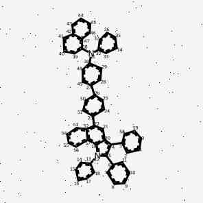 c1ccc(-c2c(-c3ccccc3)n(-c3ccccc3)c3c2cc(-c2ccc(-c4ccc(N(c5ccccc5)c5cccc6ccccc56)cc4)cc2)c2ccccc23)cc1